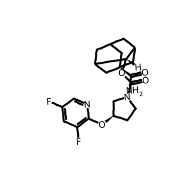 NC(=O)[C@]12CC3CC(C1)[C@@H](OC(=O)N1CC[C@@H](Oc4ncc(F)cc4F)C1)C(C3)C2